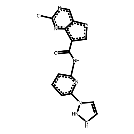 O=C(Nc1cccc(N2C=CNN2)n1)c1csc2cnc(Cl)nc12